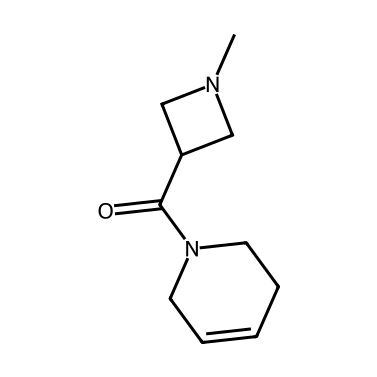 CN1CC(C(=O)N2CC=CCC2)C1